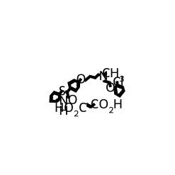 CN(CCCCOc1ccc(C2Sc3ccccc3NC2=O)cc1)CCOc1ccccc1Cl.O=C(O)C=CC(=O)O